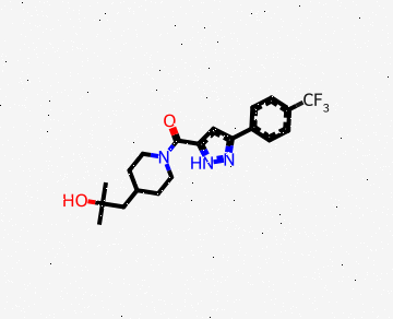 CC(C)(O)CC1CCN(C(=O)c2cc(-c3ccc(C(F)(F)F)cc3)n[nH]2)CC1